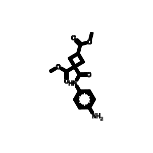 COC(=O)C1CC(C(=O)Nc2ccc(N)cc2)(C(=O)OC)C1